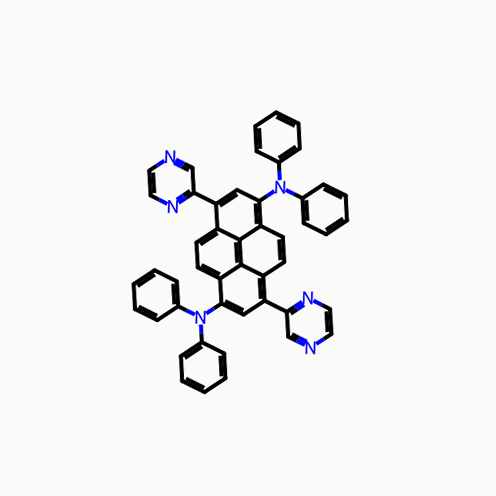 c1ccc(N(c2ccccc2)c2cc(-c3cnccn3)c3ccc4c(N(c5ccccc5)c5ccccc5)cc(-c5cnccn5)c5ccc2c3c54)cc1